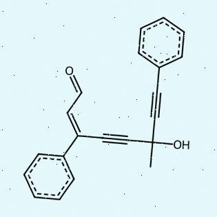 CC(O)(C#C/C(=C\C=O)c1ccccc1)C#Cc1ccccc1